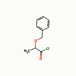 CC(OCc1ccccc1)C(=O)Cl